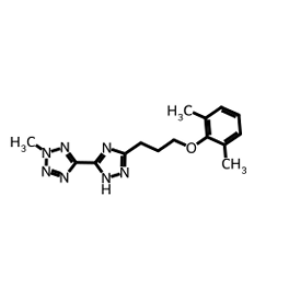 Cc1cccc(C)c1OCCCc1n[nH]c(-c2nnn(C)n2)n1